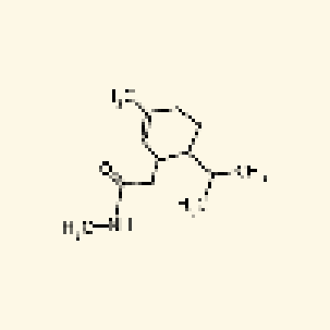 CNC(=O)CC1C=C(C)CCC1C(C)C